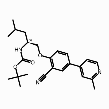 Cc1cc(-c2ccc(OC[C@H](CC(C)C)NC(=O)OC(C)(C)C)c(C#N)c2)ccn1